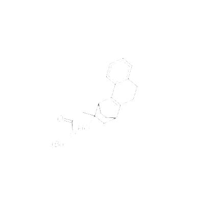 CC(C)(C)OC(=O)CC1(O)CC2CCC1C1=C2CCc2ccccc21